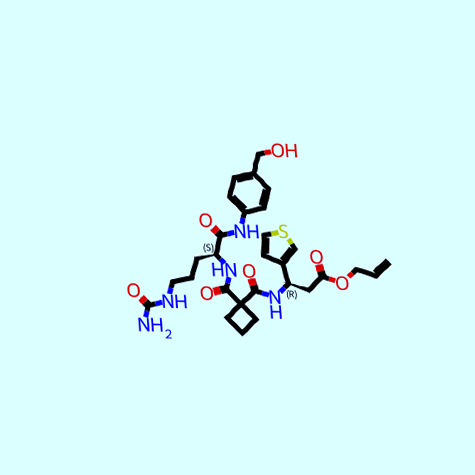 C=CCOC(=O)C[C@@H](NC(=O)C1(C(=O)N[C@@H](CCCNC(N)=O)C(=O)Nc2ccc(CO)cc2)CCC1)c1ccsc1